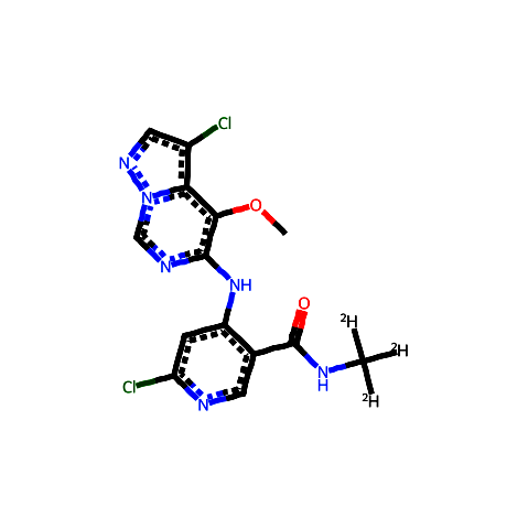 [2H]C([2H])([2H])NC(=O)c1cnc(Cl)cc1Nc1ncn2ncc(Cl)c2c1OC